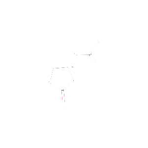 CC(C)C(=O)N[C@H]1CNC(=O)C1